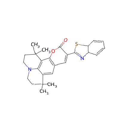 CC1(C)CCN2CCC(C)(C)c3c2c1cc1cc(C2=NC4C=CC=CC4S2)c(=O)oc31